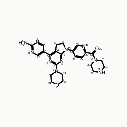 Nc1ncc(-c2nc(N3CCOCC3)nc3c2CCN3c2ccc(C(=O)N3CCNCC3)nc2)cn1